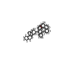 c1ccc2c(c1)ccc1c3cc(-c4c5ccccc5c(-c5cccc6ccc7ccccc7c56)c5ccccc45)ccc3oc21